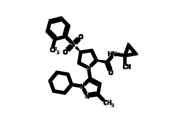 Cc1cc(N2C[C@H](S(=O)(=O)c3ccccc3C(F)(F)F)C[C@H]2C(=O)NC2(C#N)CC2)n(C2CCCCC2)n1